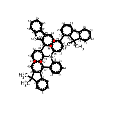 CC1(C)c2ccccc2-c2c(-c3ccccc3N(c3ccc(-c4cccc5c4C(C)(C)c4ccccc4-5)cc3)c3ccccc3-c3cccc4c3sc3ccccc34)cccc21